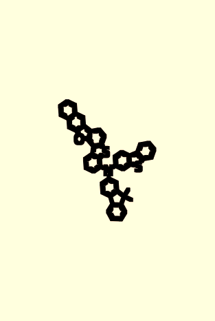 CC1(C)c2ccccc2-c2ccc(N(c3ccc4c(c3)sc3ccccc34)c3cccc4c3sc3ccc5c6cc7ccccc7cc6oc5c34)cc21